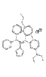 CCCc1ccc2c(c1)[CH]([Zr+2](=[C](c1ccccc1)c1ccccc1)[CH]1C=CC=C1)c1cc(N(CC)CC)ccc1-2.[Cl-].[Cl-]